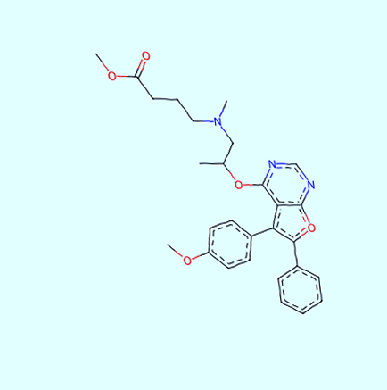 COC(=O)CCCN(C)CC(C)Oc1ncnc2oc(-c3ccccc3)c(-c3ccc(OC)cc3)c12